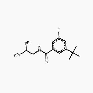 CCCC(CCC)CNC(=S)c1cc(F)cc(C(C)(C)F)c1